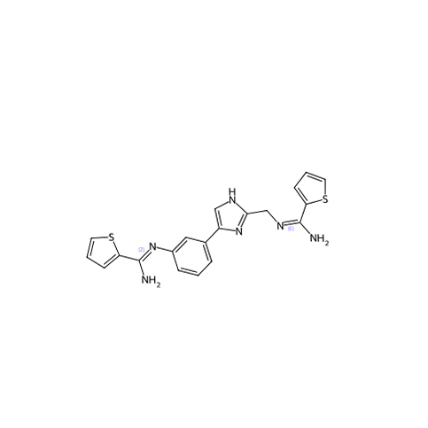 N/C(=N\c1cccc(-c2c[nH]c(C/N=C(/N)c3cccs3)n2)c1)c1cccs1